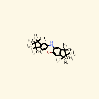 CC1(C)c2ccc(Nc3cc4c(cc3Br)C(C)(C)C(C)(C)C4(C)C)cc2C(C)(C)C1(C)C